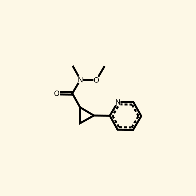 CON(C)C(=O)C1CC1c1ccccn1